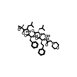 CC(C)CC(NC(=O)[C@H](Cc1ccccc1)NC(=O)[C@H](CC(C)C)N(CO)C(=O)[C@H](CCc1ccccc1)NC(=O)CN1CCOCC1)C(=O)[C@@]1(C)CO1